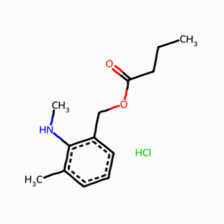 CCCC(=O)OCc1cccc(C)c1NC.Cl